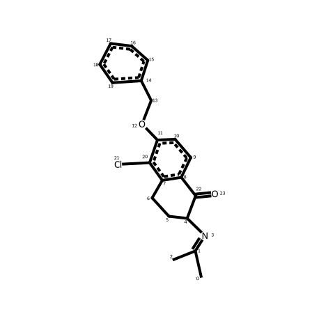 CC(C)=NC1CCc2c(ccc(OCc3ccccc3)c2Cl)C1=O